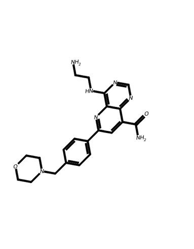 NCCNc1ncnc2c(C(N)=O)cc(-c3ccc(CN4CCOCC4)cc3)nc12